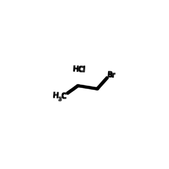 CCCBr.Cl